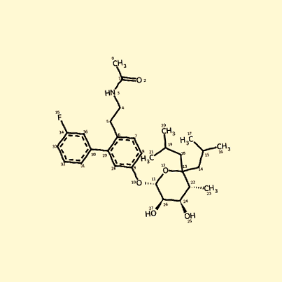 CC(=O)NCCc1ccc(O[C@@H]2OC(CC(C)C)(CC(C)C)[C@H](C)[C@@H](O)[C@H]2O)cc1-c1cccc(F)c1